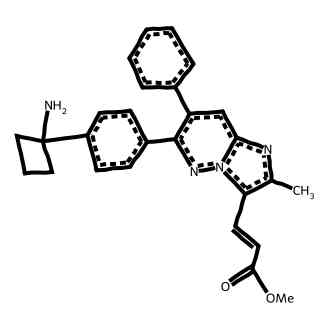 COC(=O)C=Cc1c(C)nc2cc(-c3ccccc3)c(-c3ccc(C4(N)CCC4)cc3)nn12